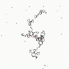 Cc1c(CN(C(=O)C2=C(c3ccc(CCCOc4c(F)ccc(F)c4Cl)cc3)CC3COCC2N3C(=O)OCCOCCO[N+](=O)[O-])C2CC2)ccnc1CCCOC(=O)OCCOCCO[N+](=O)[O-]